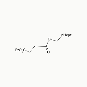 CCCCCCCCOC(=O)CCC(=O)OCC